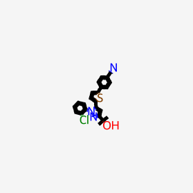 CC(C)(O)c1cc(-c2ccc(-c3ccc(C#N)cc3)s2)n(-c2ccccc2Cl)n1